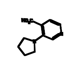 O=C(O)c1ccncc1N1CCCC1